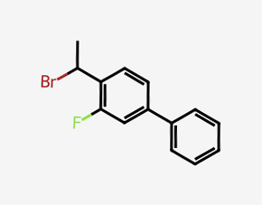 CC(Br)c1ccc(-c2ccccc2)cc1F